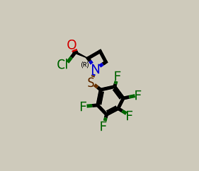 O=C(Cl)[C@H]1CCN1Sc1c(F)c(F)c(F)c(F)c1F